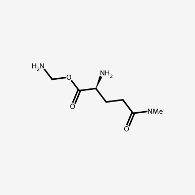 CNC(=O)CC[C@H](N)C(=O)OCN